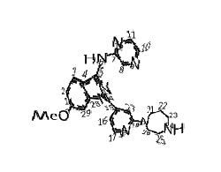 COc1ccc2c(Nc3cnccn3)nn(-c3ccnc(N4CCCNCC4)c3)c2c1